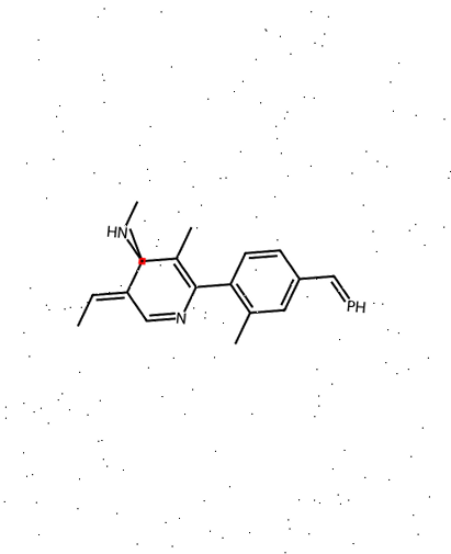 C\C=C(/C=N\C(=C(\C)CC)c1ccc(C=P)cc1C)CNC